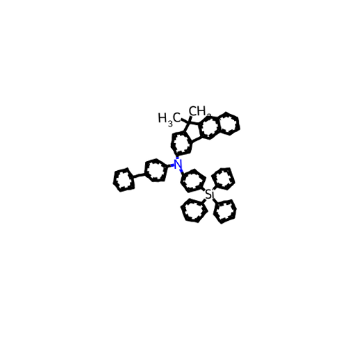 CC1(C)c2ccc(N(c3ccc(-c4ccccc4)cc3)c3ccc([Si](c4ccccc4)(c4ccccc4)c4ccccc4)cc3)cc2-c2cc3ccccc3cc21